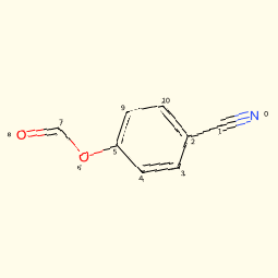 N#Cc1ccc(OC=O)cc1